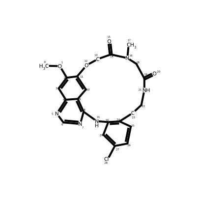 COc1cc2ncnc3c2cc1OCC(=O)N(C)CC(=O)NCCc1ccc(Cl)cc1N3